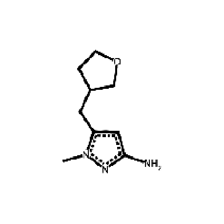 Cn1nc(N)cc1CC1CCOC1